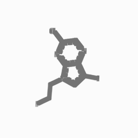 Clc1cnc2c(I)cn(CCI)c2n1